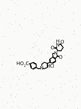 Cl.O=C1CCC(N2Cc3cc(C4CCN(Cc5ccc(C(=O)O)cc5)CC4)ccc3C2=O)C(=O)N1